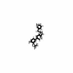 Fc1ccc(-c2cnc3cnn(Cc4cccnc4)c3c2)cc1OC(F)F